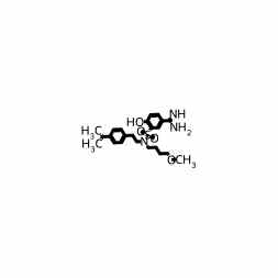 COCCCCN(CCc1ccc(C(C)C)cc1)S(=O)(=O)c1cc(C(=N)N)ccc1O